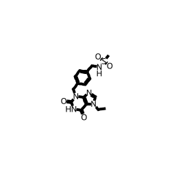 CCn1cnc2c1c(=O)[nH]c(=O)n2Cc1ccc(CNS(C)(=O)=O)cc1